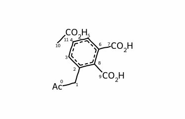 CC(=O)Cc1cccc(C(=O)O)c1C(=O)O.CC(=O)O